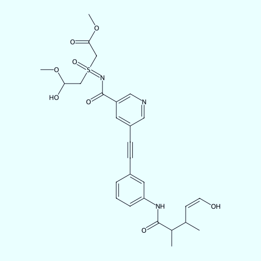 COC(=O)CS(=O)(CC(O)OC)=NC(=O)c1cncc(C#Cc2cccc(NC(=O)C(C)C(C)/C=C\O)c2)c1